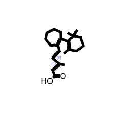 CC1=C(C2=C(/C=C/C(C)=C/C(=O)O)CCCCC2)C(C)(C)CCC1